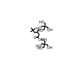 CC(CC(=O)O)CC(C)(C)C.OCC(CO)(CO)CO.OCC(CO)(CO)CO